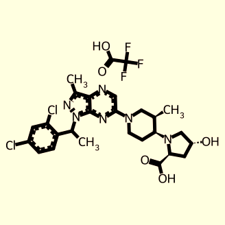 Cc1nn(C(C)c2ccc(Cl)cc2Cl)c2nc(N3CC[C@H](N4C[C@H](O)C[C@H]4C(=O)O)[C@H](C)C3)cnc12.O=C(O)C(F)(F)F